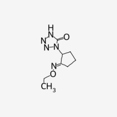 CCON=C1CCCC1n1nn[nH]c1=O